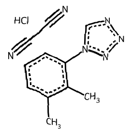 Cc1cccc(-n2cnnn2)c1C.Cl.N#CC#N